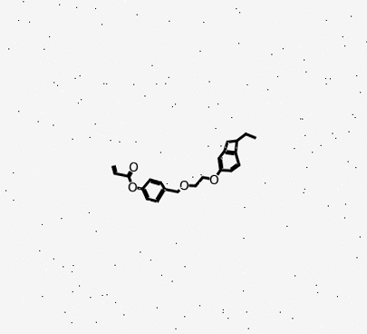 C=CC(=O)Oc1ccc(COCCOc2ccc3c(c2)CC3CC)cc1